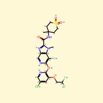 Cn1c(C(=O)NC2(C)CCS(=O)(=O)CC2)nc2cnc(Oc3ncc(Cl)cc3OCC(F)F)c(F)c21